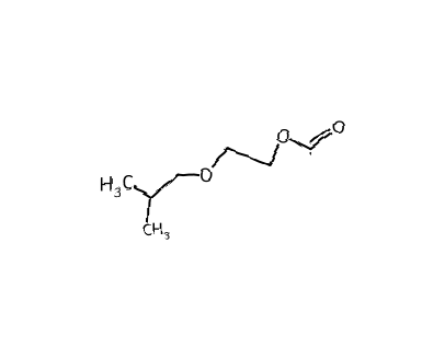 CC(C)COCCO[C]=O